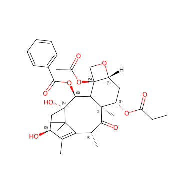 CCC(=O)O[C@H]1C[C@H]2OC[C@@]2(OC(C)=O)C2[C@H](OC(=O)c3ccccc3)[C@]3(O)C[C@H](O)C(C)=C([C@@H](C)C(=O)[C@@]21C)C3(C)C